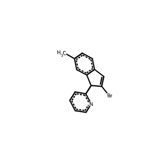 Cc1ccc2c(c1)C(c1ccccn1)C(Br)=C2